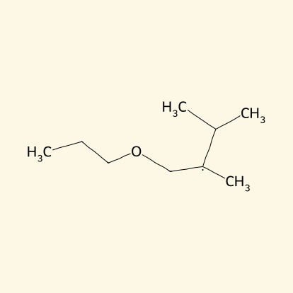 CCCOC[C](C)C(C)C